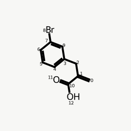 C=C(Cc1cccc(Br)c1)C(=O)O